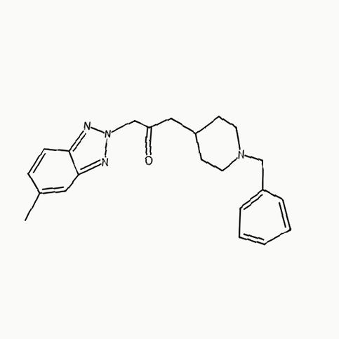 Cc1ccc2nn(CC(=O)CC3CCN(Cc4ccccc4)CC3)nc2c1